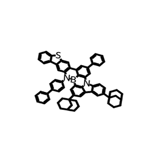 c1ccc(-c2ccc(N3B4c5c(cc(-c6ccccc6)cc5-n5c6ccc(C78CCCC(CCC7)C8)cc6c6cc(C78CCCC(CCC7)C8)cc4c65)-c4cc5sc6ccccc6c5cc43)cc2)cc1